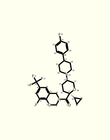 O=C(N1COc2c(F)cc(C(F)(F)F)cc2C1)[C@@]1(C2CC2)CC[C@@H](N2CCC(c3ccc(F)cc3)CC2)CO1